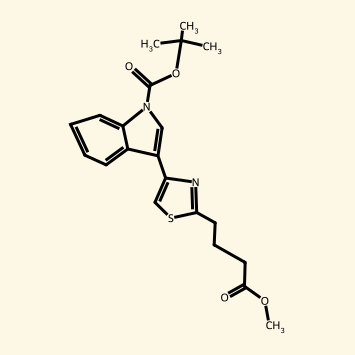 COC(=O)CCCc1nc(-c2cn(C(=O)OC(C)(C)C)c3ccccc23)cs1